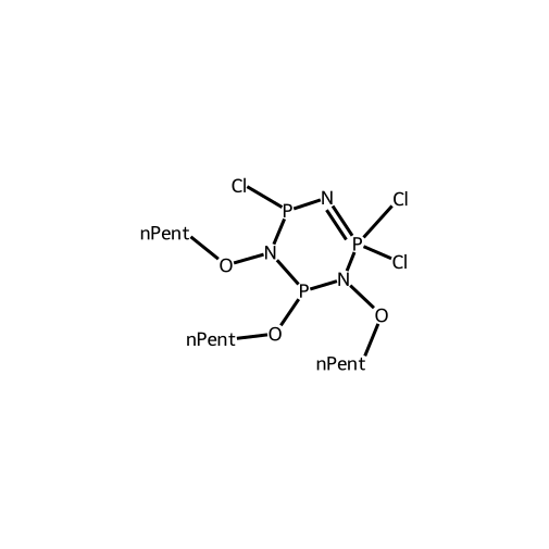 CCCCCON1P(Cl)N=P(Cl)(Cl)N(OCCCCC)P1OCCCCC